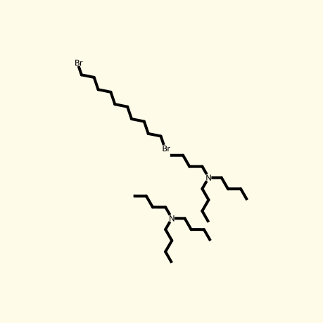 BrCCCCCCCCCCBr.CCCCN(CCCC)CCCC.CCCCN(CCCC)CCCC